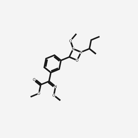 CCC(C)N1OC(c2cccc(C(=NOC)C(=O)OC)c2)N1OC